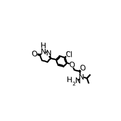 CC(C)N(N)C(=O)COc1ccc(C2=NNC(=O)CC2)cc1Cl